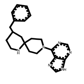 c1ccc(CC2CCNC3(CCN(c4ncnc5[nH]cnc45)CC3)C2)cc1